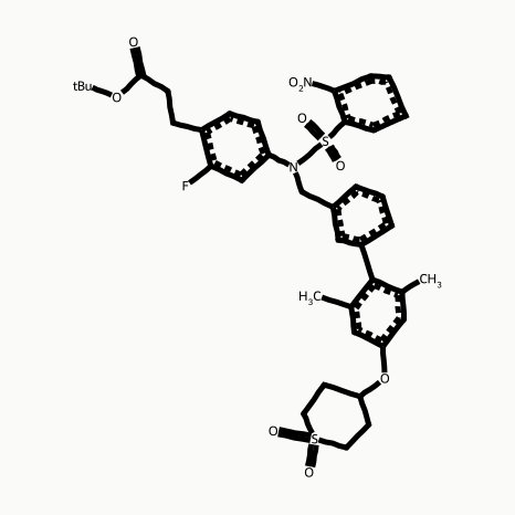 Cc1cc(OC2CCS(=O)(=O)CC2)cc(C)c1-c1cccc(CN(c2ccc(CCC(=O)OC(C)(C)C)c(F)c2)S(=O)(=O)c2ccccc2[N+](=O)[O-])c1